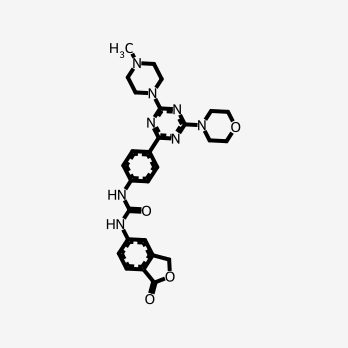 CN1CCN(c2nc(-c3ccc(NC(=O)Nc4ccc5c(c4)COC5=O)cc3)nc(N3CCOCC3)n2)CC1